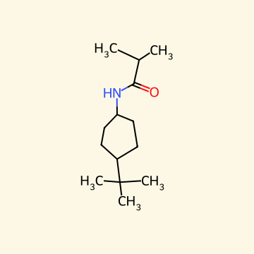 CC(C)C(=O)NC1CCC(C(C)(C)C)CC1